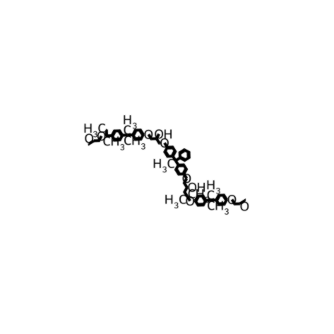 CCC(C)(OCC1CO1)c1ccc(C(C)(C)c2ccc(OCC(O)COc3ccc(C(C)(c4ccccc4)c4ccc(OCC(O)CC(C)(C)Oc5ccc(C(C)(C)c6ccc(OCC7CO7)cc6)cc5)cc4)cc3)cc2)cc1